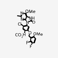 COc1ccc(F)c(F)c1COc1cc(-n2c(=O)[nH]c3c(OC)nc(C)nc32)c(Cl)cc1C(=O)O